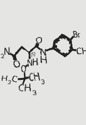 Cc1cc(NC(=O)[C@H](CC(N)=O)NOC(C)(C)C)ccc1Br